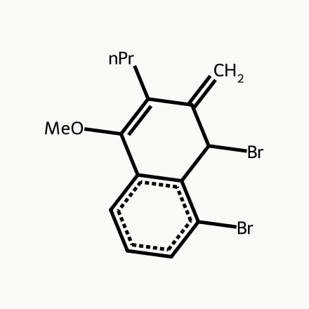 C=C1C(CCC)=C(OC)c2cccc(Br)c2C1Br